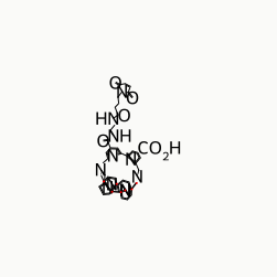 O=C(CCCN1C(=O)C=CC1=O)NCCNC(=O)c1cc2nc(c1)-c1cc(C(=O)O)cc(n1)C[N@]1Cc3cccc(n3)-c3cccc(n3)C[N@@](Cc3cccc(n3)-c3cccc(n3)C1)C2